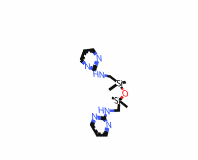 C[Si](C)(CNc1ncccn1)O[Si](C)(C)CNc1ncccn1